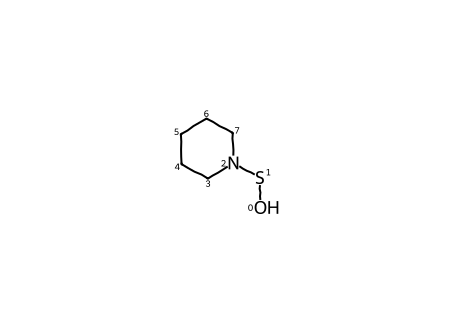 OSN1CCCCC1